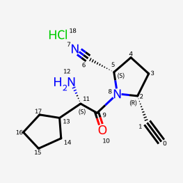 C#C[C@H]1CC[C@@H](C#N)N1C(=O)[C@@H](N)C1CCCC1.Cl